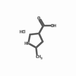 CC1CC(C(=O)O)CN1.Cl